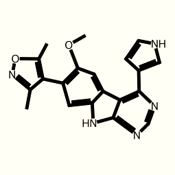 COc1cc2c(cc1-c1c(C)noc1C)[nH]c1ncnc(-c3cc[nH]c3)c12